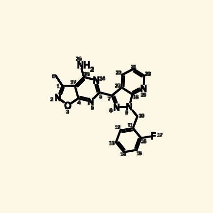 Cc1noc2nc(-c3nn(Cc4ccccc4F)c4ncccc34)nc(N)c12